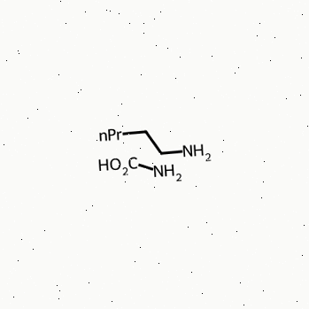 CCCCCN.NC(=O)O